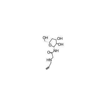 C#CCNCC(=O)N[C@@H]1O[C@H](CO)C[C@H](O)[C@H]1O